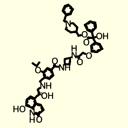 CC(C)Oc1cc(C(=O)N[C@H]2C[C@H](NC(=O)COc3cccc(C(O)(C(=O)OCC4CCN(Cc5ccccc5)CC4)c4ccccc4)c3)C2)ccc1CNC[C@H](O)c1ccc(O)c2[nH]c(=O)ccc12